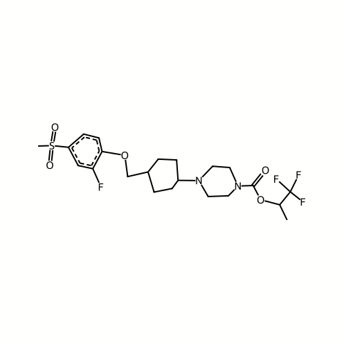 CC(OC(=O)N1CCN(C2CCC(COc3ccc(S(C)(=O)=O)cc3F)CC2)CC1)C(F)(F)F